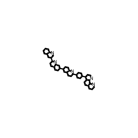 c1ccc2ncc(-c3ccc4ccc(-c5ccc6nc(-c7ccc(-c8ccnc9c8ccc8cccnc89)cc7)ccc6c5)cc4n3)cc2c1